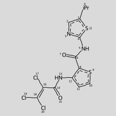 CC(C)c1cnc(NC(=O)c2sccc2NC(=O)C(Cl)=C(Cl)Cl)s1